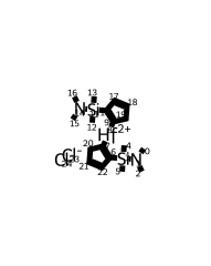 CN(C)[Si](C)(C)C1=[C]([Hf+2][C]2=C([Si](C)(C)N(C)C)C=CC2)CC=C1.[Cl-].[Cl-]